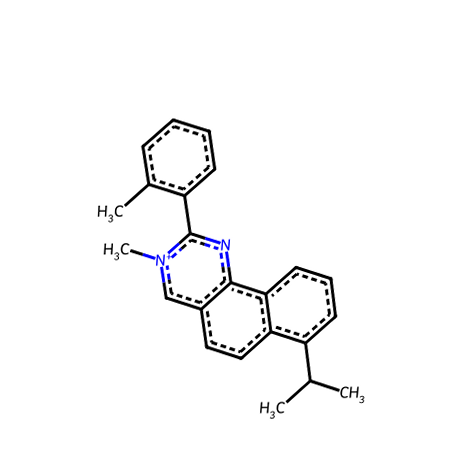 Cc1ccccc1-c1nc2c(ccc3c(C(C)C)cccc32)c[n+]1C